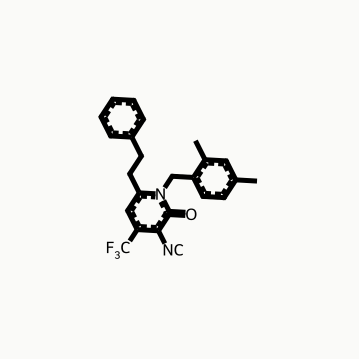 [C-]#[N+]c1c(C(F)(F)F)cc(CCc2ccccc2)n(Cc2ccc(C)cc2C)c1=O